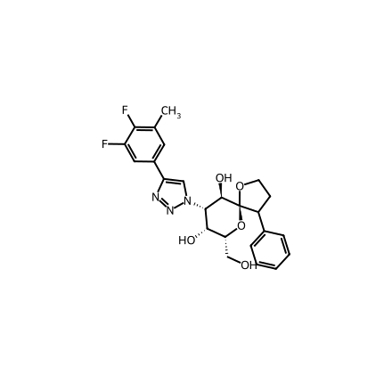 Cc1cc(-c2cn([C@H]3[C@@H](O)[C@@H](CO)O[C@]4(OCCC4c4ccccc4)[C@@H]3O)nn2)cc(F)c1F